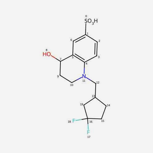 O=S(=O)(O)c1ccc2c(c1)C(O)CCN2CC1CCC(F)(F)C1